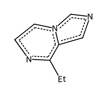 CCc1nccn2cncc12